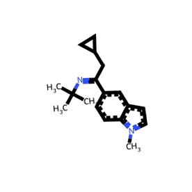 Cn1ccc2cc(/C(CC3CC3)=N\C(C)(C)C)ccc21